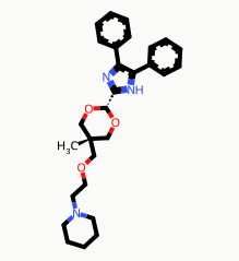 C[C@]1(COCCN2CCCCC2)CO[C@@H](c2nc(-c3ccccc3)c(-c3ccccc3)[nH]2)OC1